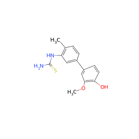 COc1cc(-c2ccc(C)c(NC(N)=S)c2)ccc1O